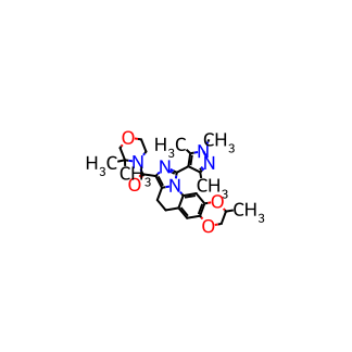 Cc1nn(C)c(C)c1-c1nc(C(=O)N2CCOCC2(C)C)c2n1-c1cc3c(cc1CC2)OCC(C)O3